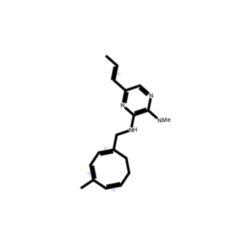 C/C=C/c1cnc(NC)c(NC/C2=C/C=C(C)\C=C/CC2)n1